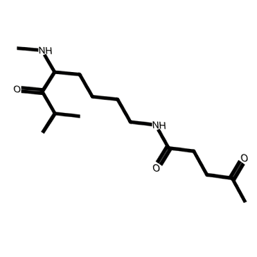 CNC(CCCCNC(=O)CCC(C)=O)C(=O)C(C)C